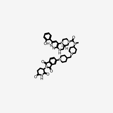 CN(C(=O)N1CCN2c3cc(-c4ccccc4O)nnc3NC[C@H]2C1)C1CCN(CC2CCN(c3ccc4c(c3)C(=O)N(C3CCC(=O)NC3=O)C4=O)CC2)CC1